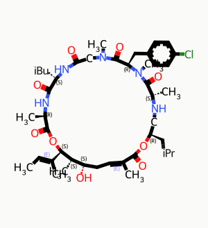 C/C=C(\C)[C@H]1OC(=O)[C@@H](C)NC(=O)[C@H](C(C)CC)NC(=O)CN(C)C(=O)[C@@H](Cc2ccc(Cl)cc2)N(C)C(=O)[C@H](C)NC[C@@H](CC(C)C)OC(=O)/C(C)=C/C[C@H](O)[C@@H]1C